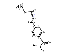 CC(C)C(=O)c1ccc(N/C=N\CN)cc1